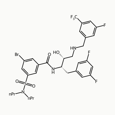 CCCN(CCC)S(=O)(=O)c1cc(Br)cc(C(=O)N[C@@H](Cc2cc(F)cc(F)c2)[C@H](O)CNCc2cc(F)cc(C(F)(F)F)c2)c1